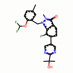 Cc1ccc(OC(F)F)c(Cn2c3c(F)c(-c4cnc(C(C)(C)O)nc4)ccc3c(=O)n2C)c1